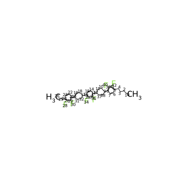 CCCCCc1ccc(C2CCC(c3ccc(C4CC=C(c5ccc(CC)c(F)c5F)CC4)c(F)c3F)CC2)c(F)c1F